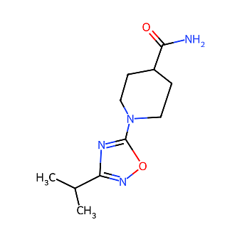 CC(C)c1noc(N2CCC(C(N)=O)CC2)n1